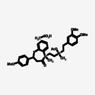 COc1ccc(C2CC(=O)[N+](C)(CC[N+](C)(CCc3ccc(OC)c(OC)c3)OC(C)=O)c3ccccc3S2)cc1.CS(=O)(=O)O